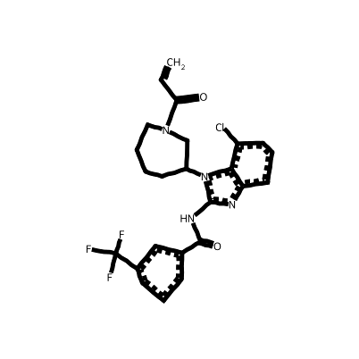 C=CC(=O)N1CCCCC(n2c(NC(=O)c3cccc(C(F)(F)F)c3)nc3cccc(Cl)c32)C1